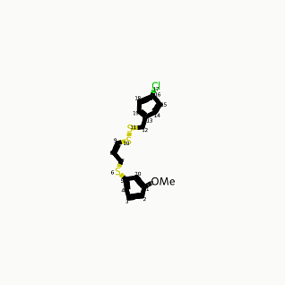 COc1cccc(SC/C=C\SSCc2ccc(Cl)cc2)c1